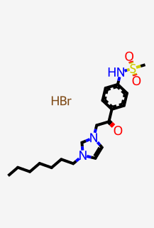 Br.CCCCCCCN1C=CN(CC(=O)c2ccc(NS(C)(=O)=O)cc2)C1